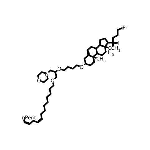 CCCCC/C=C\C/C=C\CCCCCCCCOCC(CN1CCOCC1)OCCCCO[C@H]1CCC2(C)C(=CCC3C2CCC2(C)C3CCC2C(C)(I)CCCC(C)C)C1